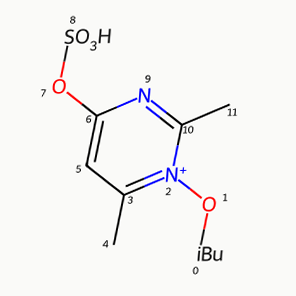 CCC(C)O[n+]1c(C)cc(OS(=O)(=O)O)nc1C